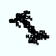 CC(C)(C)CC(C)(C)c1cc(CP2(=O)OCC3(CO2)COP(=O)(Cc2cc(C(C)(C)CC(C)(C)C)c(O)c(C(C)(C)CC(C)(C)C)c2)OC3)cc(C(C)(C)CC(C)(C)C)c1O